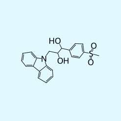 CS(=O)(=O)c1ccc(C(O)C(O)Cn2c3ccccc3c3ccccc32)cc1